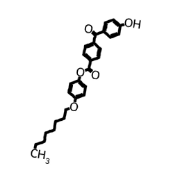 CCCCCCCCOc1ccc(OC(=O)c2ccc(C(=O)c3ccc(O)cc3)cc2)cc1